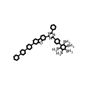 Bc1c(B)c(B)c(-c2ccc(-c3nc(-c4ccccc4)nc(-c4ccc5c(c4)oc4cc(-c6ccc(-c7ccc(-c8ccccc8)cc7)cc6)ccc45)n3)cc2)c(B)c1B